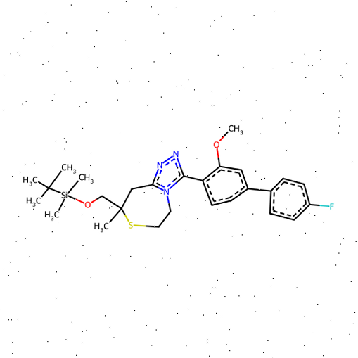 COc1cc(-c2ccc(F)cc2)ccc1-c1nnc2n1CCSC(C)(CO[Si](C)(C)C(C)(C)C)C2